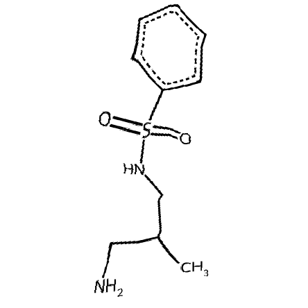 CC(CN)CNS(=O)(=O)c1ccccc1